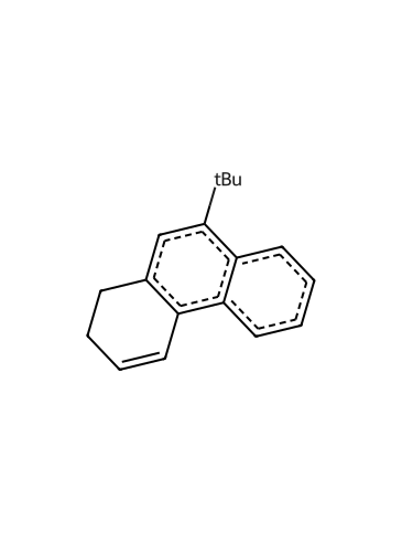 CC(C)(C)c1cc2c(c3ccccc13)C=CCC2